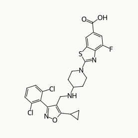 O=C(O)c1cc(F)c2nc(N3CCC(NCc4c(-c5c(Cl)cccc5Cl)noc4C4CC4)CC3)sc2c1